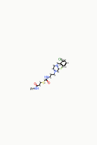 CC(C)NC(=O)CCSCC(=O)NCCCN1CCN(Cc2c(F)cccc2Cl)CC1